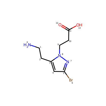 NCCc1cc(Br)nn1CCC(=O)O